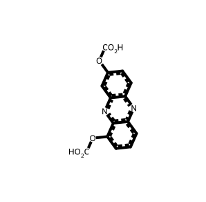 O=C(O)Oc1ccc2nc3cccc(OC(=O)O)c3nc2c1